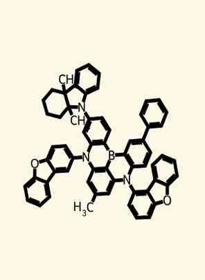 Cc1cc2c3c(c1)N(c1cccc4oc5ccccc5c14)c1ccc(-c4ccccc4)cc1B3c1ccc(N3c4ccccc4C4(C)CCCCC34C)cc1N2c1ccc2oc3ccccc3c2c1